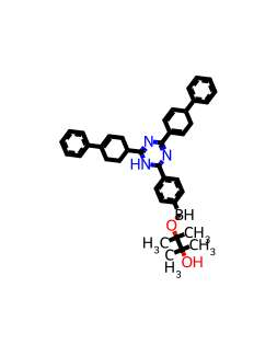 CC(C)(O)C(C)(C)OBc1ccc(C2N=C(C3=CCC(c4ccccc4)C=C3)N=C(C3CC=C(c4ccccc4)CC3)N2)cc1